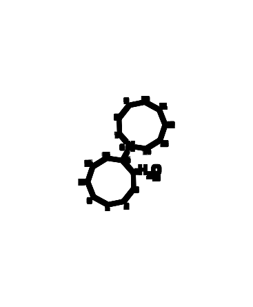 C1CCCCC(N2CCCCCCCC2)CCC1.O